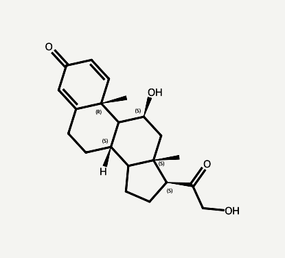 C[C@]12C=CC(=O)C=C1CC[C@@H]1C2[C@@H](O)C[C@@]2(C)C1CC[C@@H]2C(=O)CO